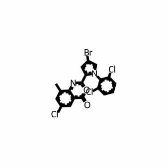 Cc1cc(Cl)cc2c(=O)oc(-c3cc(Br)cn3-c3c(Cl)cccc3Cl)nc12